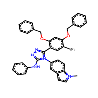 CC(C)c1cc(-c2nnc(Nc3ccccc3)n2-c2ccc3c(ccn3C)c2)c(OCc2ccccc2)cc1OCc1ccccc1